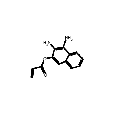 C=CC(=O)Oc1cc2ccccc2c(N)c1N